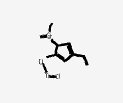 CCC1=CC([Si](C)C)C(C)=C1.[Cl][Ti][Cl]